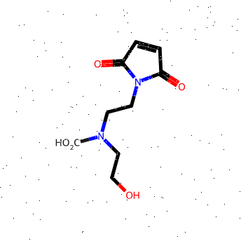 O=C(O)N(CCO)CCN1C(=O)C=CC1=O